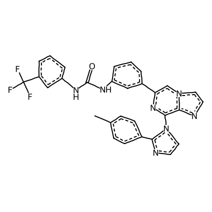 Cc1ccc(-c2nccn2-c2nc(-c3cccc(NC(=O)Nc4cccc(C(F)(F)F)c4)c3)cn3ccnc23)cc1